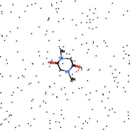 CCC(C)N1CC(=O)N(C(C)CC)CC1=O